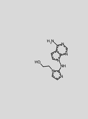 Nc1ncnc2c1ccn2Nc1nccn1CCO